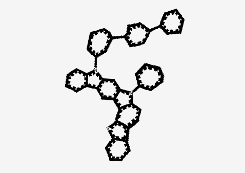 c1ccc(-c2ccc(-c3cccc(-n4c5ccccc5c5cc6c7c8sc9ccccc9c8ccc7n(-c7ccccc7)c6cc54)c3)cc2)cc1